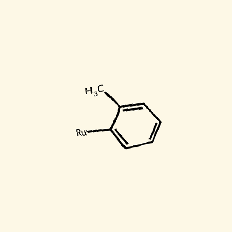 Cc1cccc[c]1[Ru]